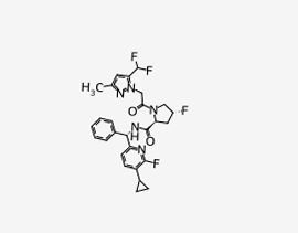 Cc1cc(C(F)F)n(CC(=O)N2C[C@H](F)C[C@H]2C(=O)N[C@@H](c2ccccc2)c2ccc(C3CC3)c(F)n2)n1